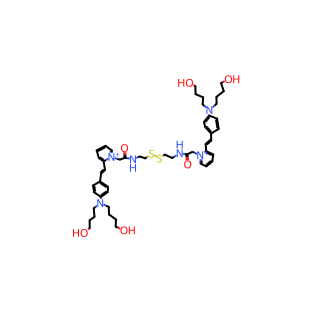 O=C(C[n+]1ccccc1/C=C/c1ccc(N(CCCCO)CCCCO)cc1)NCCSSCCNC(=O)C[n+]1ccccc1/C=C/c1ccc(N(CCCCO)CCCCO)cc1